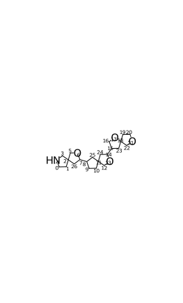 C1CC2(CN1)COC(C1CCC3(COC(C4COC5(CCOC5)C4)C3)C1)C2